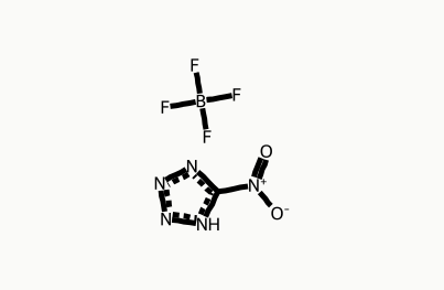 F[B-](F)(F)F.O=[N+]([O-])c1nnn[nH]1